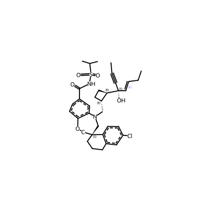 CC#C[C@@](O)(/C=C/CC)[C@@H]1CC[C@H]1CN1C[C@@]2(CCCc3cc(Cl)ccc32)COc2ccc(C(=O)NS(=O)(=O)C(C)C)cc21